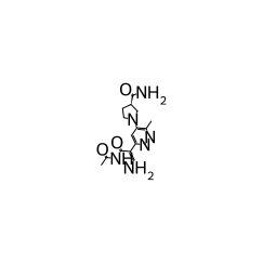 CC(=O)NC(=O)/C(=C\N)c1cc(N2CC[C@@H](C(N)=O)C2)c(C)nn1